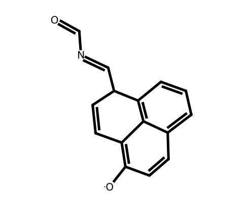 [O]c1ccc2cccc3c2c1C=CC3C=NC=O